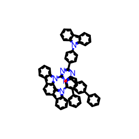 c1ccc(-c2ccc(-c3nc(-c4ccc(-n5c6ccccc6c6ccccc65)cc4)nc(-n4c5ccccc5c5ccc6c7ccccc7n(-c7ccccc7-c7ccccc7)c6c54)n3)cc2)cc1